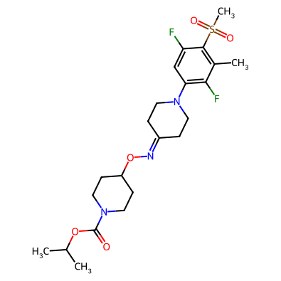 Cc1c(F)c(N2CCC(=NOC3CCN(C(=O)OC(C)C)CC3)CC2)cc(F)c1S(C)(=O)=O